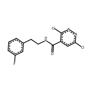 O=C(NCCc1cccc(F)c1)c1cc(Cl)nnc1Cl